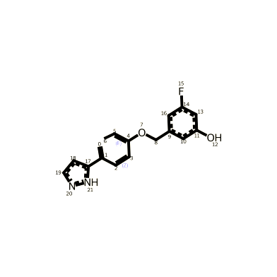 C=C(/C=C\C(=C/C)OCc1cc(O)cc(F)c1)c1ccn[nH]1